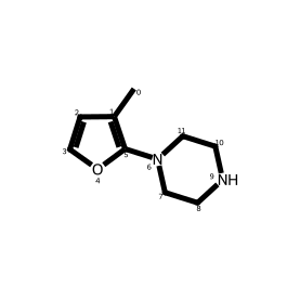 Cc1ccoc1N1CCNCC1